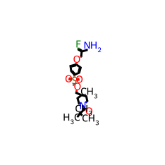 CC1(COCS(=O)(=O)c2ccc(OCC(=CF)CN)cc2)CCN(C(=O)C(C)(C)C)CC1